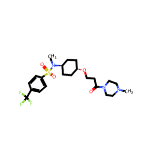 CN1CCN(C(=O)CCO[C@H]2CC[C@H](N(C)S(=O)(=O)c3ccc(C(F)(F)F)cc3)CC2)CC1